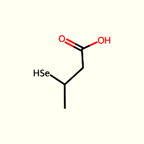 CC([SeH])CC(=O)O